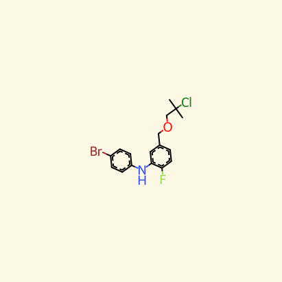 CC(C)(Cl)COCc1ccc(F)c(Nc2ccc(Br)cc2)c1